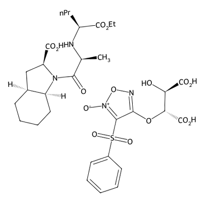 CCC[C@H](N[C@@H](C)C(=O)N1[C@H](C(=O)O)C[C@@H]2CCCC[C@@H]21)C(=O)OCC.O=C(O)[C@H](O)[C@@H](Oc1no[n+]([O-])c1S(=O)(=O)c1ccccc1)C(=O)O